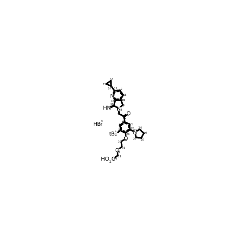 Br.CC(C)(C)c1cc(C(=O)CN2Cc3ccc(C4CC4)nc3C2=N)cc(N2CCCC2)c1OCCOCC(=O)O